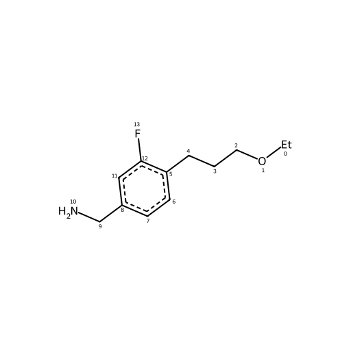 CCOCCCc1ccc(CN)cc1F